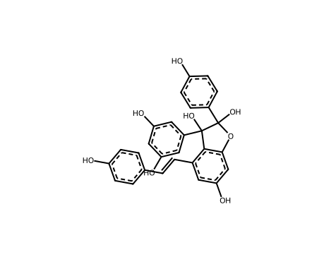 Oc1ccc(C=Cc2cc(O)cc3c2C(O)(c2cc(O)cc(O)c2)C(O)(c2ccc(O)cc2)O3)cc1